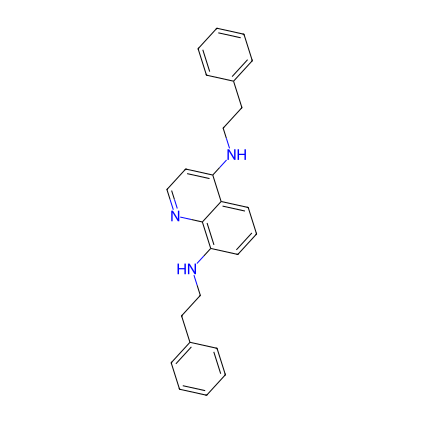 c1ccc(CCNc2ccnc3c(NCCc4ccccc4)cccc23)cc1